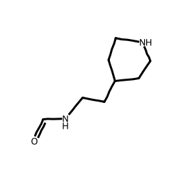 O=CNCCC1CCNCC1